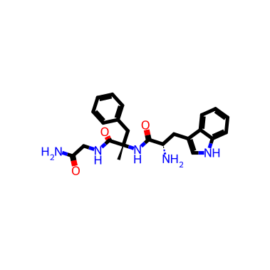 C[C@@](Cc1ccccc1)(NC(=O)[C@@H](N)Cc1c[nH]c2ccccc12)C(=O)NCC(N)=O